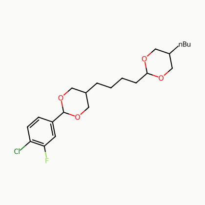 CCCCC1COC(CCCCC2COC(c3ccc(Cl)c(F)c3)OC2)OC1